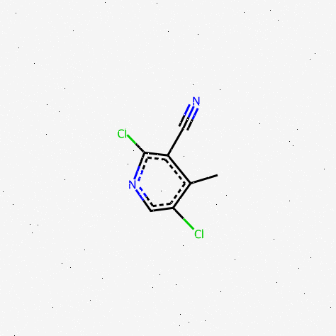 Cc1c(Cl)cnc(Cl)c1C#N